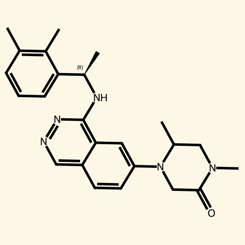 Cc1cccc([C@@H](C)Nc2nncc3ccc(N4CC(=O)N(C)CC4C)cc23)c1C